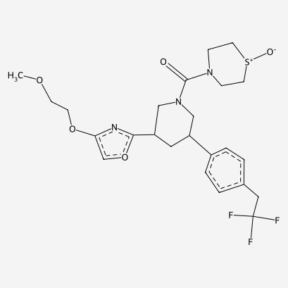 COCCOc1coc(C2CC(c3ccc(CC(F)(F)F)cc3)CN(C(=O)N3CC[S+]([O-])CC3)C2)n1